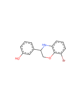 Oc1cccc(C2COc3c(Br)cccc3N2)c1